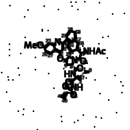 C=C[C@@H]1C[C@]1(NC(=O)[C@@H]1C[C@@H](Oc2cc(-c3ccccc3)nc3cc(OC)ccc23)CN1C(=O)[C@H](NC(C)=O)c1ccccc1)C(=O)NS(=O)(=O)C1CC1